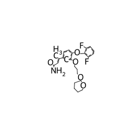 CC(=CC(N)=O)c1ccc(OCc2c(F)cccc2F)c(OCCCOC2CCCCO2)c1